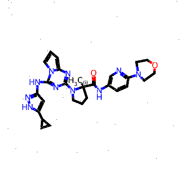 C[C@@]1(C(=O)Nc2ccc(N3CCOCC3)nc2)CCCN1c1nc(Nc2cc(C3CC3)[nH]n2)n2cccc2n1